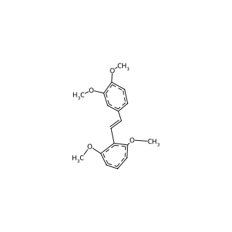 COc1ccc(C=Cc2c(OC)cccc2OC)cc1OC